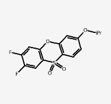 CC(C)Oc1ccc2c(c1)Oc1cc(F)c(F)cc1S2(=O)=O